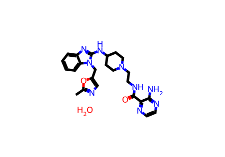 Cc1ncc(Cn2c(NC3CCN(CCNC(=O)c4nccnc4N)CC3)nc3ccccc32)o1.O